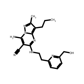 CCCc1c(C)nn2c(N)c(C#N)c(NCCc3cccc(CO)n3)nc12